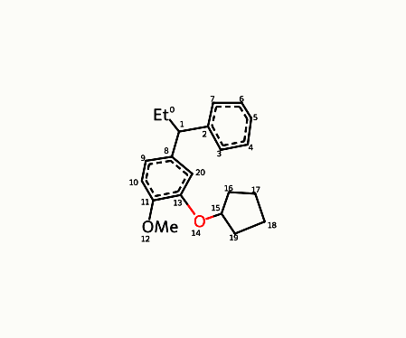 CCC(c1ccccc1)c1ccc(OC)c(OC2CCCC2)c1